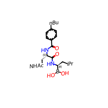 CCCCc1ccc(C(=O)N[C@@H](CNC(C)=O)C(=O)N[C@@H](CC(C)C)B(O)O)cc1